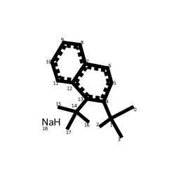 CC(C)(C)c1ccc2ccccc2c1C(C)(C)C.[NaH]